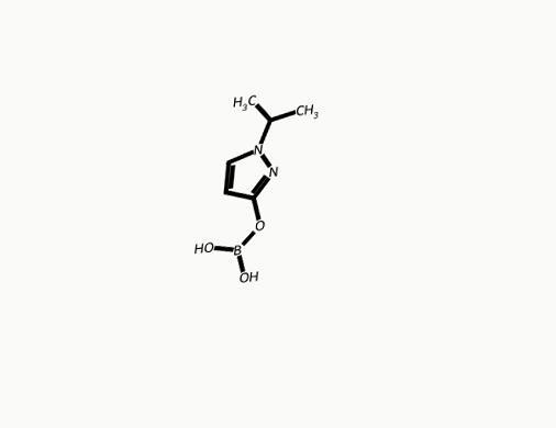 CC(C)n1ccc(OB(O)O)n1